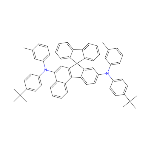 Cc1cccc(N(c2ccc(C(C)(C)C)cc2)c2ccc3c(c2)C2(c4ccccc4-c4ccccc42)c2cc(N(c4ccc(C(C)(C)C)cc4)c4cccc(C)c4)c4ccccc4c2-3)c1